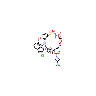 CN(C)C1CN(C(=O)O[C@H]2C=CCOC(C)(C)C(=O)NS(=O)(=O)c3ccc4c(c3)N(C[C@@H]3CC[C@H]32)C[C@@]2(CCCc3cc(Cl)ccc32)CO4)C1